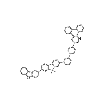 CC1(C)c2cc(-c3cccc(-c4ccc(-c5cnc6c7ccccc7c7ccccc7c6n5)cc4)c3)ccc2-c2ccc(-c3ccc4oc5ccccc5c4c3)cc21